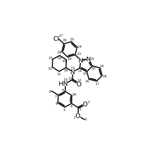 COC(=O)c1ccc(C)c(NC(=O)N(c2c3ccccc3nn2-c2ccc(Cl)cc2)C2CCCCC2)c1